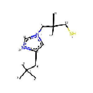 CC(C)(C)Cc1cn(CC(C)(C)CS)cn1